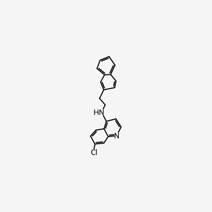 Clc1ccc2c(NCCc3ccc4ccccc4c3)ccnc2c1